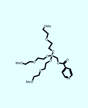 COCCOCCO[Si](COC(=O)c1ccncc1)(OCCOCCOC)OCCOCCOC